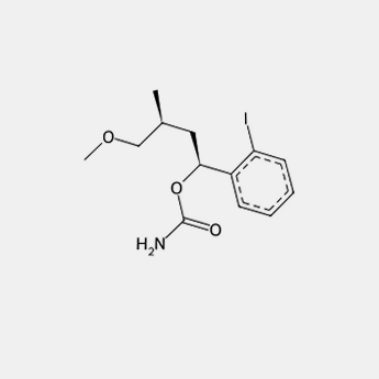 COC[C@@H](C)C[C@H](OC(N)=O)c1ccccc1I